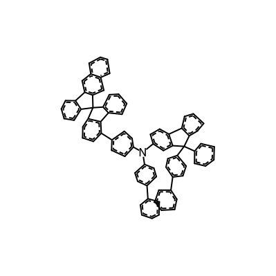 c1ccc(-c2ccc(N(c3ccc(-c4cccc5c4-c4ccccc4C54c5ccccc5-c5cc6ccccc6cc54)cc3)c3ccc4c(c3)C(c3ccccc3)(c3ccc(-c5ccccc5)cc3)c3ccccc3-4)cc2)cc1